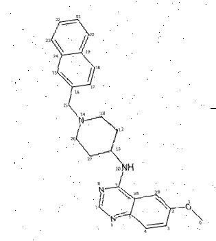 COc1ccc2ncnc(NC3CCN(Cc4ccc5ccccc5c4)CC3)c2c1